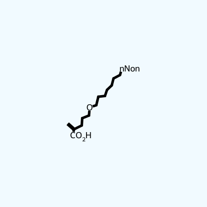 C=C(CCCOCCCCCCCCCCCCCCCC)C(=O)O